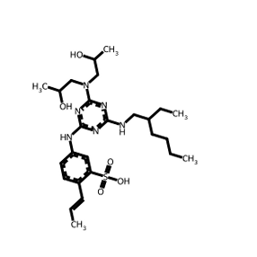 CC=Cc1ccc(Nc2nc(NCC(CC)CCCC)nc(N(CC(C)O)CC(C)O)n2)cc1S(=O)(=O)O